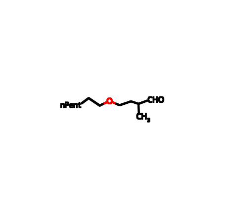 CCCCCCCOCCC(C)C=O